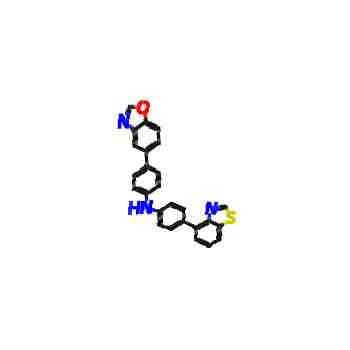 c1cc(-c2ccc(Nc3ccc(-c4ccc5ocnc5c4)cc3)cc2)c2ncsc2c1